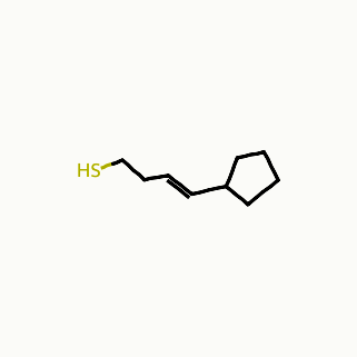 SCCC=CC1CCCC1